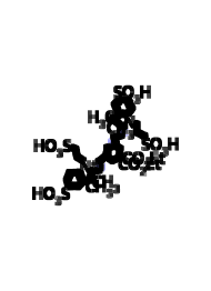 CCOC(=O)C1(C(=O)OCC)CC(/C=C/C2=[N+](CCCS(=O)(=O)O)c3ccc(S(=O)(=O)O)cc3C2(C)C)=CC(=C/C=C2/N(CCCS(=O)(=O)O)c3ccc(S(=O)(=O)O)cc3C2(C)C)/C1